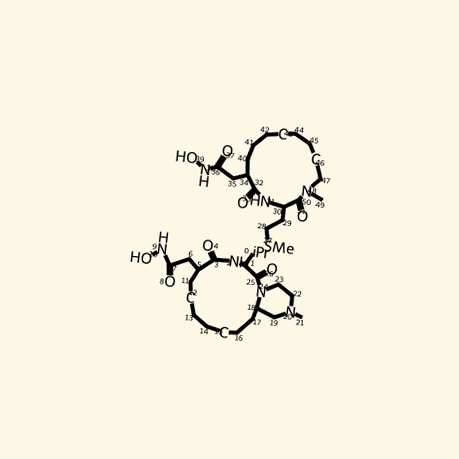 CC(C)C1NC(=O)C(CC(=O)NO)CCCCCCCC2CN(C)CCN2C1=O.CSCCC1NC(=O)C(CC(=O)NO)CCCCCCCCN(C)C1=O